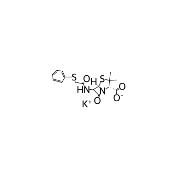 CC1(C)S[C@@H]2[C@H](NC(=O)CSc3ccccc3)C(=O)N2[C@H]1C(=O)[O-].[K+]